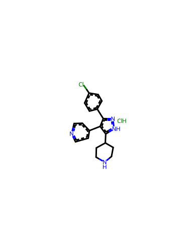 Cl.Clc1ccc(-c2n[nH]c(C3CCNCC3)c2-c2ccncc2)cc1